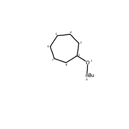 CCCCO[C]1CCCCCC1